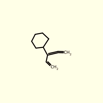 C=C=C(C=C)C1CCCCC1